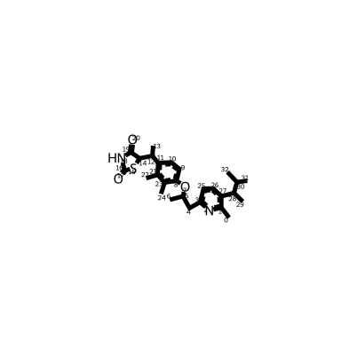 Cc1nc(CC(C)Oc2ccc(C(C)C3SC(=O)NC3=O)c(C)c2C)ccc1C(C)C(C)C